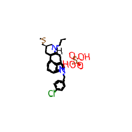 CCCN1C[C@H](CSC)CC2c3cccc4c3c(cn4Cc3ccc(Cl)cc3)C[C@H]21.O=S(=O)(O)O